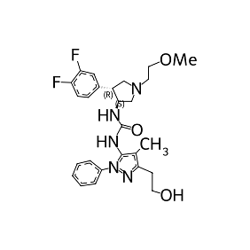 COCCN1C[C@@H](NC(=O)Nc2c(C)c(CCO)nn2-c2ccccc2)[C@H](c2ccc(F)c(F)c2)C1